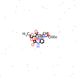 COC(=O)CN(C)C(=O)c1cccc(Nc2c(N[C@@H](c3ccc(C)o3)C3(C)COC3)c(=O)c2=O)c1O